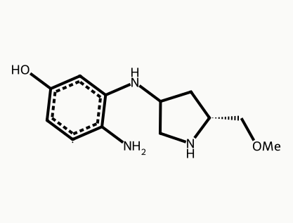 COC[C@H]1CC(Nc2cc(O)c[c]c2N)CN1